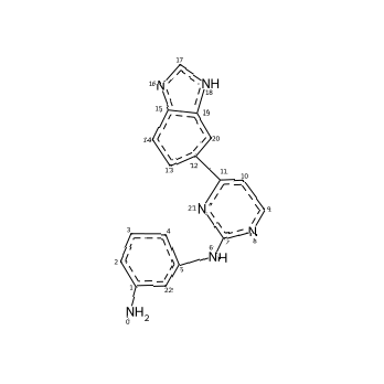 Nc1cccc(Nc2nccc(-c3ccc4nc[nH]c4c3)n2)c1